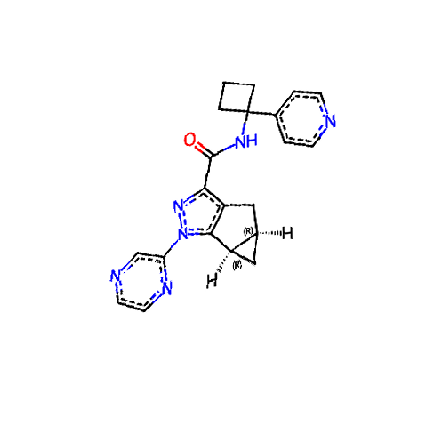 O=C(NC1(c2ccncc2)CCC1)c1nn(-c2cnccn2)c2c1C[C@H]1C[C@@H]21